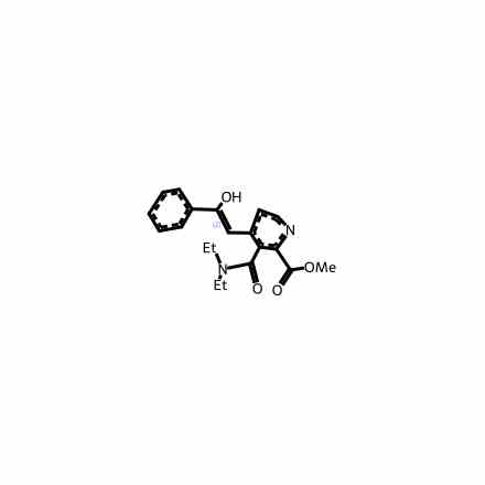 CCN(CC)C(=O)c1c(/C=C(\O)c2ccccc2)ccnc1C(=O)OC